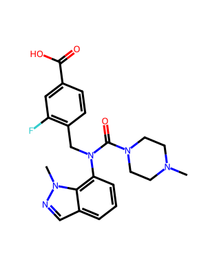 CN1CCN(C(=O)N(Cc2ccc(C(=O)O)cc2F)c2cccc3cnn(C)c23)CC1